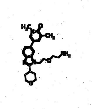 Cc1cc(-c2ccc3nc(C4CCOCC4)n(CCOCCN)c3c2)cn(C)c1=O